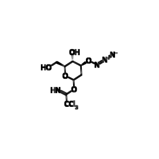 [N-]=[N+]=NO[C@H]1CC(OC(=N)C(Cl)(Cl)Cl)O[C@@H](CO)[C@@H]1O